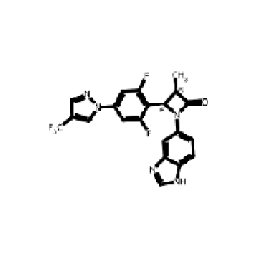 C[C@H]1C(=O)N(c2ccc3[nH]cnc3c2)[C@H]1c1c(F)cc(-n2cc(C(F)(F)F)cn2)cc1F